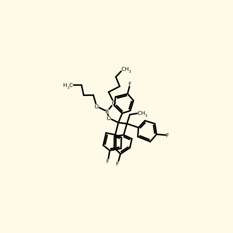 CCCCOB(OCCCC)OC(c1ccc(F)cc1)(c1ccc(F)cc1)C(CC)(c1ccc(F)cc1)c1ccc(F)cc1